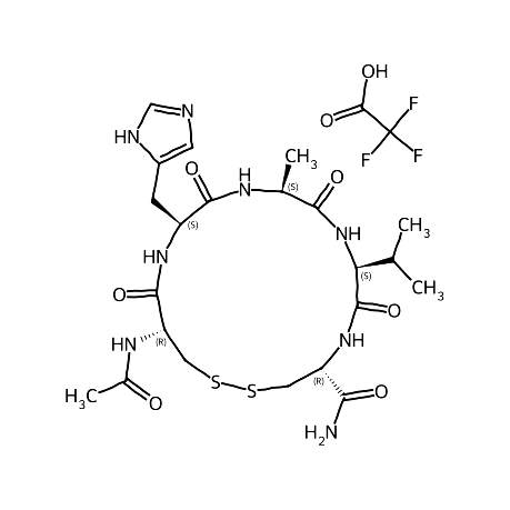 CC(=O)N[C@H]1CSSC[C@@H](C(N)=O)NC(=O)[C@H](C(C)C)NC(=O)[C@H](C)NC(=O)[C@H](Cc2cnc[nH]2)NC1=O.O=C(O)C(F)(F)F